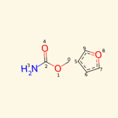 COC(N)=O.c1ccoc1